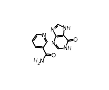 NC(=O)c1cccnc1.O=c1[nH]cnc2nc[nH]c12